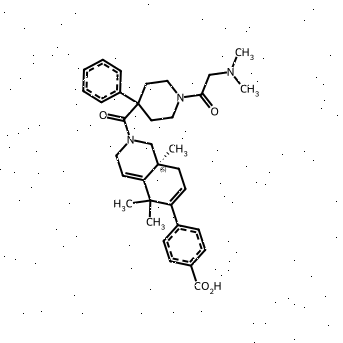 CN(C)CC(=O)N1CCC(C(=O)N2CC=C3C(C)(C)C(c4ccc(C(=O)O)cc4)=CC[C@]3(C)C2)(c2ccccc2)CC1